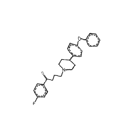 O=C(CCCN1CCC(c2ccc(Oc3ccccc3)cc2)CC1)c1ccc(F)cc1